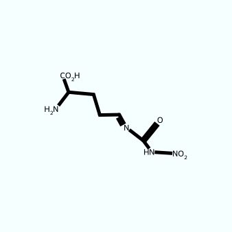 NC(CCC=NC(=O)N[N+](=O)[O-])C(=O)O